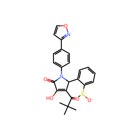 C[S+]([O-])c1ccccc1C1C(C(=O)C(C)(C)C)=C(O)C(=O)N1c1ccc(-c2ccon2)cc1